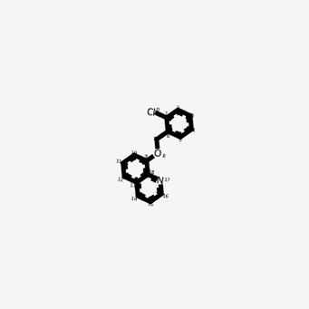 Clc1ccccc1COc1cccc2cccnc12